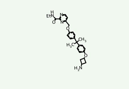 CCNC(=O)c1nccc(COc2ccc(C(C)(C)c3ccc(OC4CC(N)C4)cc3)cc2)n1